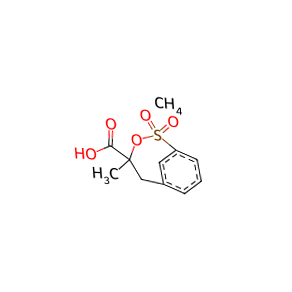 C.CC1(C(=O)O)Cc2cccc(c2)S(=O)(=O)O1